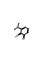 CN(C)C1=CC=[C]C(=O)C1=O